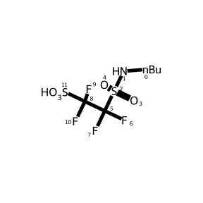 CCCCNS(=O)(=O)C(F)(F)C(F)(F)S(=O)(=O)O